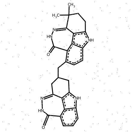 CC1(C)CCc2[nH]c3ccc(CC4CC5=NNC(=O)c6cccc7[nH]c(c5c67)C4)c4c3c2C1=NNC4=O